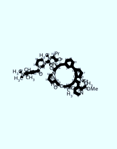 CCn1c(-c2cccnc2[C@H](C)OC)c2c3cc(ccc31)-c1cccc(c1)C[C@H](NC(=O)[C@H](C(C)C)N(C)C(=O)N1CCCN(C(=O)C#CC(C)(C)N(C)C)C1)C(=O)N1CCC[C@H](N1)C(=O)OCC(C)(C)C2